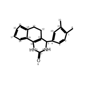 Cc1ccc(C2NC(=O)NC3=C2CCc2ccccc23)cc1C